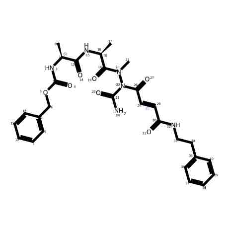 C[C@H](NC(=O)OCc1ccccc1)C(=O)N[C@@H](C)C(=O)N(C)N(C(N)=O)C(=O)/C=C/C(=O)NCCc1ccccc1